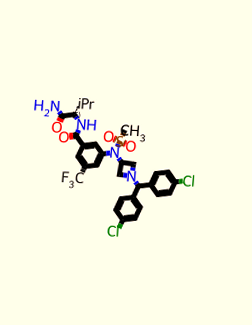 CC(C)[C@H](NC(=O)c1cc(N(C2CN(C(c3ccc(Cl)cc3)c3ccc(Cl)cc3)C2)S(C)(=O)=O)cc(C(F)(F)F)c1)C(N)=O